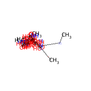 CCCCCCCC/C=C\CCCCCCCCCCCCCCCC(=O)N[C@@H](CO[C@@H]1OC(CO)[C@@H](O[C@@H]2OC(CO)[C@H](O[C@@H]3OC(CO)[C@H](O)[C@H](O)C3NC(C)=O)[C@H](O[C@]3(C(=O)O)CC(O)[C@@H](NC(C)=O)C([C@H](O)[C@@H](CO)O[C@]4(C(=O)O)CC(O)[C@@H](NC(C)=O)C([C@H](O)[C@H](O)CO)O4)O3)C2O)[C@H](O)C1O)[C@H](O)/C=C/CCCCCCCCCCCCC